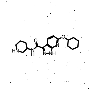 O=C(NC1CCCNC1)c1n[nH]c2nc(OC3CCCCC3)ccc12